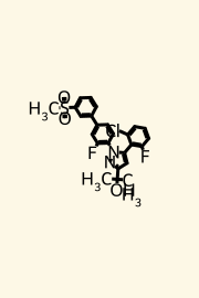 CC(C)(O)c1cc(-c2c(F)cccc2Cl)n(-c2ccc(-c3cccc(S(C)(=O)=O)c3)cc2F)n1